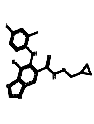 Cc1cc(I)ccc1Nc1c(C(=O)NOCC2CC2)cc2ncoc2c1F